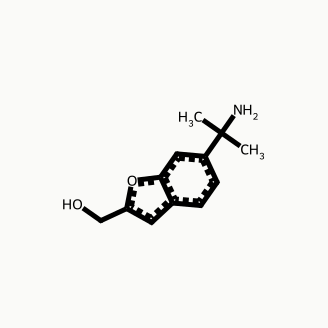 CC(C)(N)c1ccc2cc(CO)oc2c1